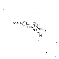 COc1ccc(CNc2nc(/C=C/N(C)C)c([N+](=O)[O-])cc2C(F)(F)F)cc1